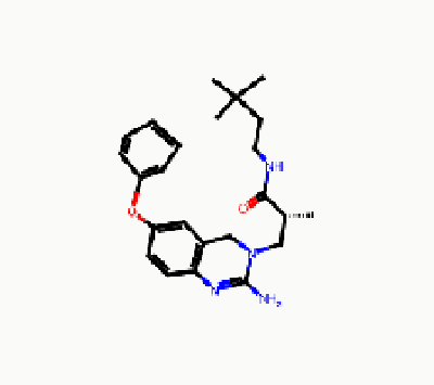 C[C@H](CN1Cc2cc(Oc3ccccc3)ccc2N=C1N)C(=O)NCCC(C)(C)C